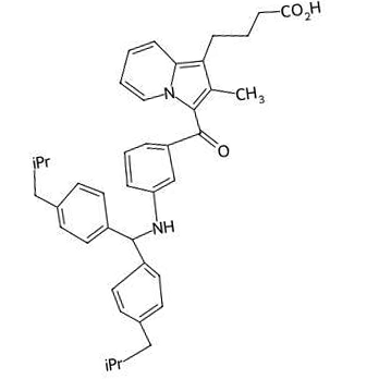 Cc1c(CCCC(=O)O)c2ccccn2c1C(=O)c1cccc(NC(c2ccc(CC(C)C)cc2)c2ccc(CC(C)C)cc2)c1